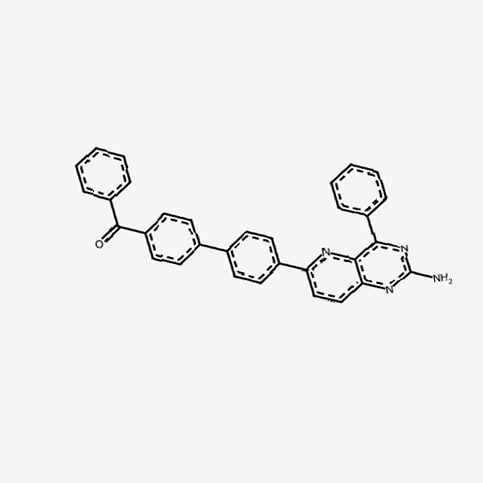 Nc1nc(-c2ccccc2)c2nc(-c3ccc(-c4ccc(C(=O)c5ccccc5)cc4)cc3)ccc2n1